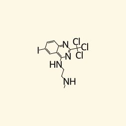 CNCCNc1nc(C(Cl)(Cl)Cl)nc2ccc(I)cc12